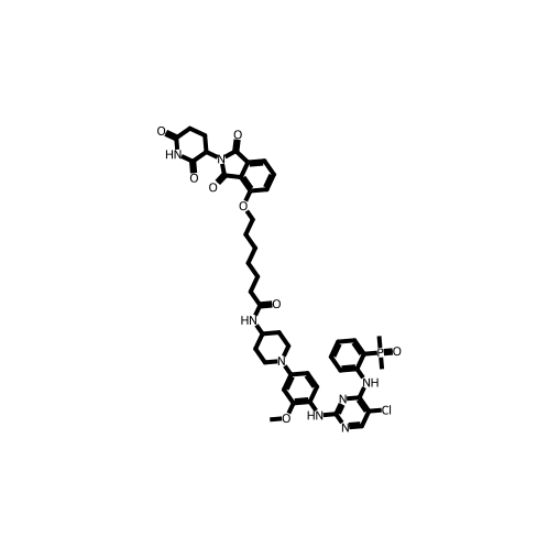 COc1cc(N2CCC(NC(=O)CCCCCCOc3cccc4c3C(=O)N(C3CCC(=O)NC3=O)C4=O)CC2)ccc1Nc1ncc(Cl)c(Nc2ccccc2P(C)(C)=O)n1